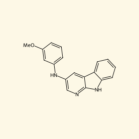 COc1cccc(Nc2cnc3[nH]c4ccccc4c3c2)c1